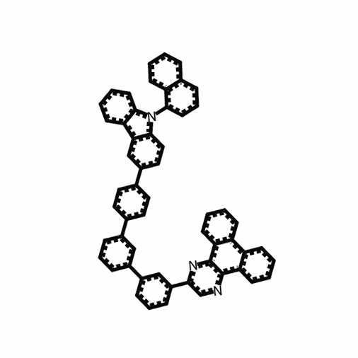 c1cc(-c2ccc(-c3ccc4c(c3)c3ccccc3n4-c3cccc4ccccc34)cc2)cc(-c2cccc(-c3cnc4c5ccccc5c5ccccc5c4n3)c2)c1